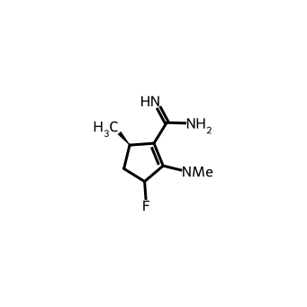 CNC1=C(C(=N)N)[C@H](C)CC1F